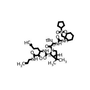 C#CCCC(NC(=O)[C@@H]1C2[C@H](CN1C(=O)[C@@H](NC(=O)NC1(CS(=O)(=O)C3CCCC3)CCCCC1)C(C)(C)C)C2(C)C)C(=O)C(=O)NCC=C